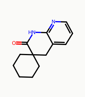 O=C1Nc2ncccc2CC12CCCCC2